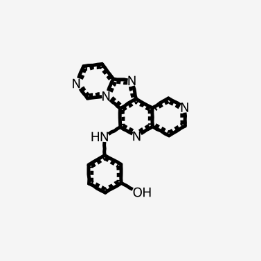 Oc1cccc(Nc2nc3ccncc3c3nc4ccncn4c23)c1